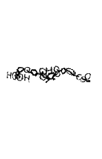 C=CC(=O)OCCCCOc1ccc(C(O)Oc2ccc(OC(=O)c3ccc(COc4cccc(B(O)O)c4)cc3)c(C)c2C)cc1